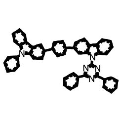 c1ccc(-c2nc(-c3ccccc3)nc(-n3c4ccccc4c4ccc(-c5ccc(-c6ccc7c(c6)c6ccccc6n7-c6ccccc6)cc5)cc43)n2)cc1